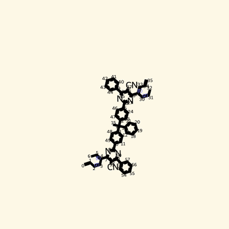 C=C/C=C\C(=C/C)c1nc(-c2ccc(C(C)(c3ccccc3)c3ccc(-c4nc(C(/C=C\C)=C/C=C)c(C#N)c(-c5ccccc5)n4)cc3)cc2)nc(-c2ccccc2)c1C#N